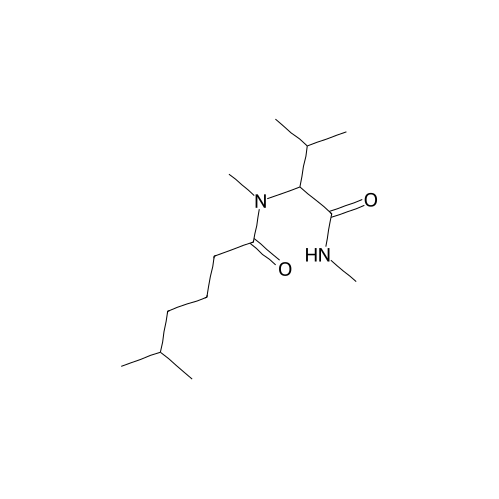 CNC(=O)C(C(C)C)N(C)C(=O)CCCC(C)C